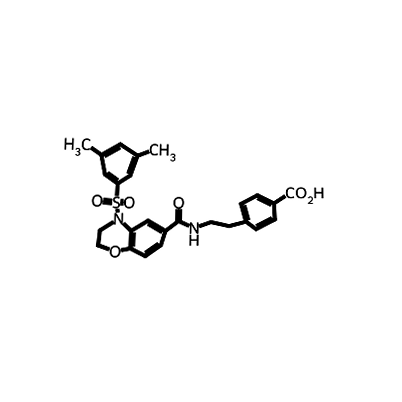 Cc1cc(C)cc(S(=O)(=O)N2CCOc3ccc(C(=O)NCCc4ccc(C(=O)O)cc4)cc32)c1